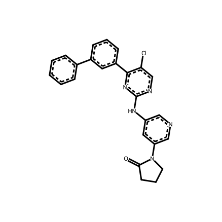 O=C1CCCN1c1cncc(Nc2ncc(Cl)c(-c3cccc(-c4ccccc4)c3)n2)c1